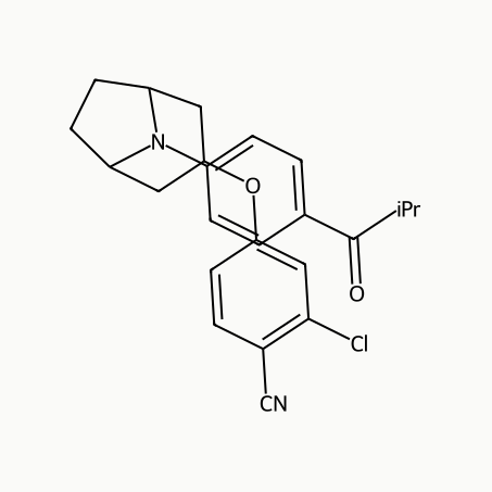 CC(C)C(=O)c1ccc(N2C3CCC2CC(Oc2ccc(C#N)c(Cl)c2)C3)cc1